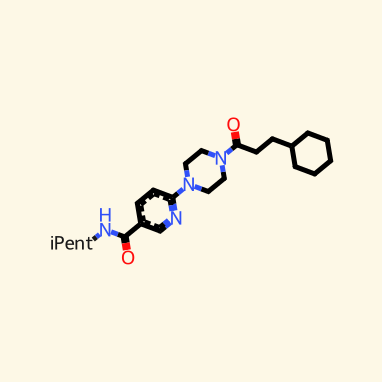 CCCC(C)NC(=O)c1ccc(N2CCN(C(=O)CCC3CCCCC3)CC2)nc1